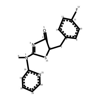 CN(C1=NC(=O)C(Cc2ccc(F)cc2)S1)c1ccccn1